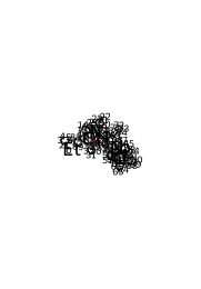 CCc1ccccc1-c1cccc(-c2cccc(N(c3ccc(C)cc3C)c3cc(C4CCCC4)c4ccc5c(N(c6ccc(C)cc6C)c6cccc7c6oc6c(-c8ccccc8CC)cccc67)cc(C6CCCC6)c6ccc3c4c65)c2O)c1